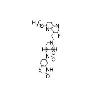 COc1ccc2ncc(F)c(CCN3CC[C@@H]4CN(c5ccc6c(c5)NC(=O)CS6)C(=O)O[C@H]4C3)c2n1